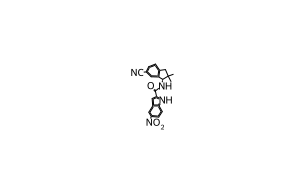 CC1(C)Cc2ccc(C#N)cc2[C@@H]1NC(=O)c1cc2cc([N+](=O)[O-])ccc2[nH]1